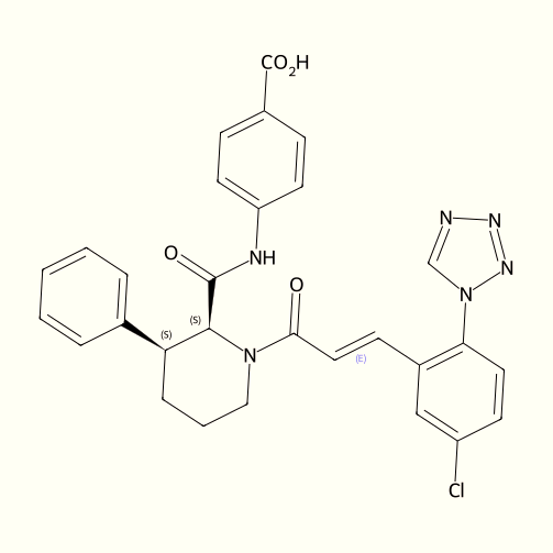 O=C(O)c1ccc(NC(=O)[C@@H]2[C@H](c3ccccc3)CCCN2C(=O)/C=C/c2cc(Cl)ccc2-n2cnnn2)cc1